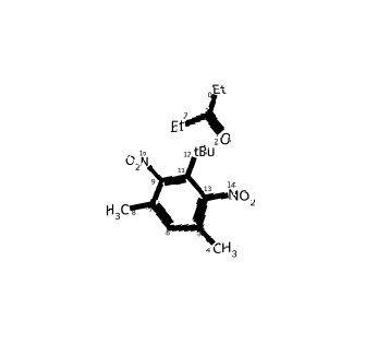 CCC(=O)CC.Cc1cc(C)c([N+](=O)[O-])c(C(C)(C)C)c1[N+](=O)[O-]